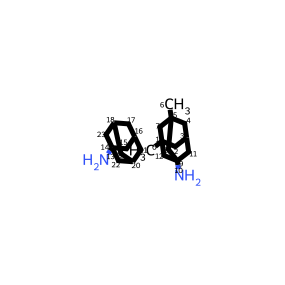 CC12CC3CC(C)(C1)CC(N)(C3)C2.NC12CC3CC(CC(C3)C1)C2